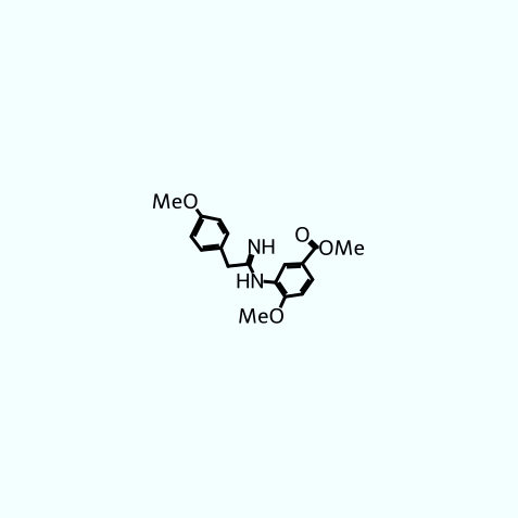 COC(=O)c1ccc(OC)c(NC(=N)Cc2ccc(OC)cc2)c1